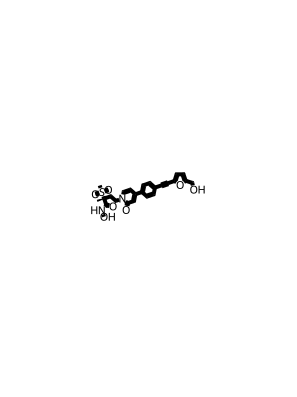 C[C@@](CCn1ccc(-c2ccc(C#Cc3ccc(CO)o3)cc2)cc1=O)(C(=O)NO)S(C)(=O)=O